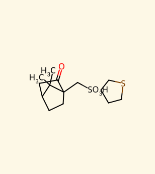 C1CCSC1.CC1(C)C2CCC1(CS(=O)(=O)O)C(=O)C2